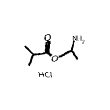 CC(N)OC(=O)C(C)C.Cl